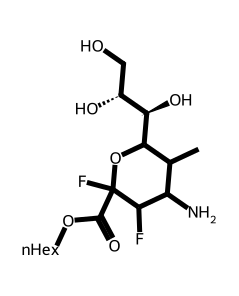 CCCCCCOC(=O)C1(F)OC([C@H](O)[C@H](O)CO)C(C)C(N)C1F